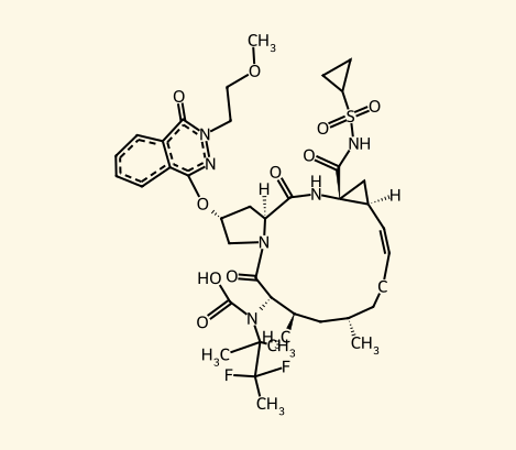 COCCn1nc(O[C@@H]2C[C@H]3C(=O)N[C@]4(C(=O)NS(=O)(=O)C5CC5)C[C@H]4/C=C\CC[C@H](C)C[C@@H](C)[C@H](N(C(=O)O)C(C)(C)C(C)(F)F)C(=O)N3C2)c2ccccc2c1=O